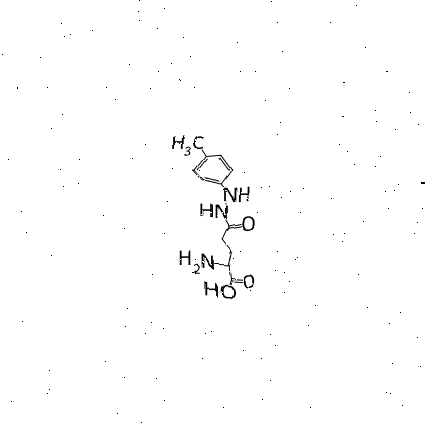 Cc1ccc(NNC(=O)CCC(N)C(=O)O)cc1